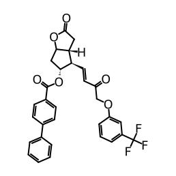 O=C(/C=C/[C@H]1[C@H](OC(=O)c2ccc(-c3ccccc3)cc2)CC2OC(=O)C[C@@H]21)COc1cccc(C(F)(F)F)c1